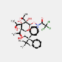 CC(=O)[C@@]1(O)[C@](O)(C(C)=O)[C@@H](ONC(=O)C(Cl)(Cl)Cl)O[C@H](C(O)[Si](c2ccccc2)(c2ccccc2)C(C)(C)C)[C@@]1(O)C(C)=O